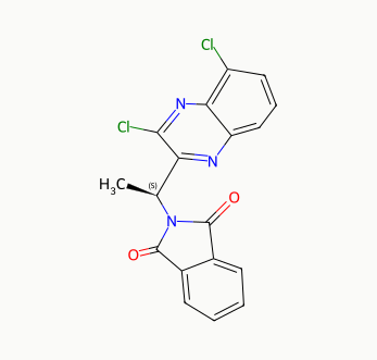 C[C@@H](c1nc2cccc(Cl)c2nc1Cl)N1C(=O)c2ccccc2C1=O